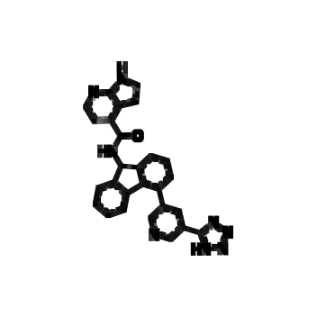 O=C(NC1c2ccccc2-c2c(-c3cncc(-c4nnn[nH]4)c3)cccc21)c1ccnc2[nH]ccc12